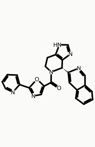 O=C(c1cnc(-c2ccccn2)o1)N1CCc2[nH]cnc2[C@@H]1c1cc2ccccc2cn1